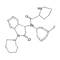 O=C1C(N(C(=O)C2CCCCN2)c2cccc(F)c2)c2ccccc2N1C1CCCCC1